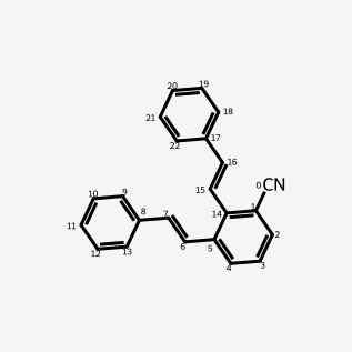 N#Cc1cccc(C=Cc2ccccc2)c1C=Cc1ccccc1